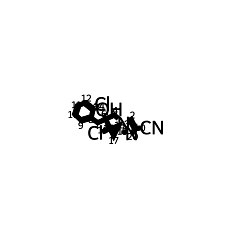 N#Cc1cn(CC(O)(Cc2ccccc2Cl)C2(Cl)CC2)cn1